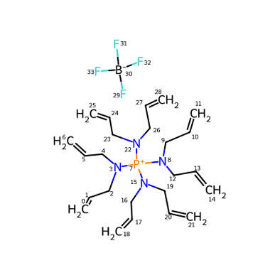 C=CCN(CC=C)[P+](N(CC=C)CC=C)(N(CC=C)CC=C)N(CC=C)CC=C.F[B-](F)(F)F